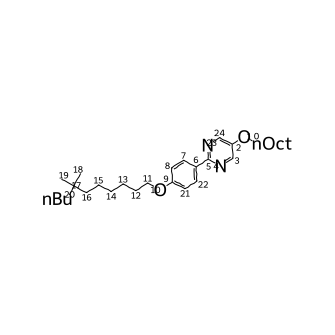 CCCCCCCCOc1cnc(-c2ccc(OCCCCCCC(C)(C)CCCC)cc2)nc1